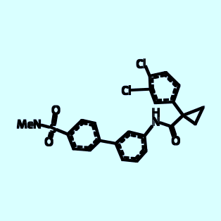 CNS(=O)(=O)c1ccc(-c2cccc(NC(=O)C3(c4ccc(Cl)c(Cl)c4)CC3)c2)cc1